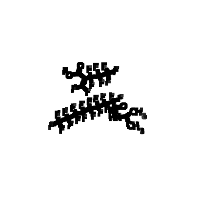 CC(C)NS(=O)(=O)C(F)(F)C(F)(F)C(F)(F)C(F)(F)C(F)(F)C(F)(F)C(F)(F)C(F)(F)F.O=C(OF)C(=C(F)F)C(F)(F)C(F)(F)C(F)(F)F